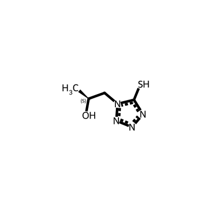 C[C@H](O)Cn1nnnc1S